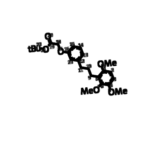 COc1ccc(OC)c(OC)c1CCCc1cccc(OCC(=O)OC(C)(C)C)c1